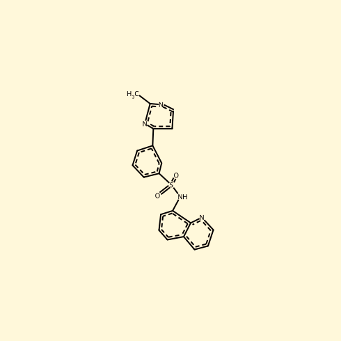 Cc1nccc(-c2cccc(S(=O)(=O)Nc3cccc4cccnc34)c2)n1